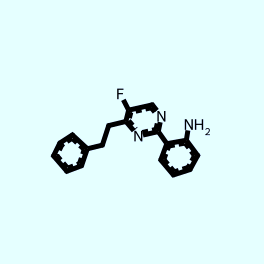 Nc1ccccc1-c1ncc(F)c(CCc2ccccc2)n1